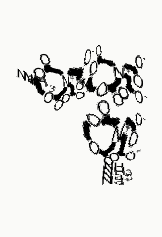 N.N.N.O=C([O-])C[N+]1(CC(=O)[O-])CC(=O)OCCOC(=O)C1.O=C([O-])C[N+]1(CC(=O)[O-])CC(=O)OCCOC(=O)C1.O=C([O-])C[N+]1(CC(=O)[O-])CC(=O)OCCOC(=O)C1.[Na+].[Na+].[Na+]